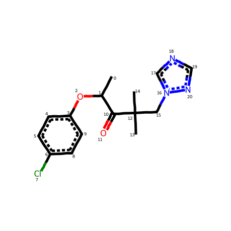 CC(Oc1ccc(Cl)cc1)C(=O)C(C)(C)Cn1cncn1